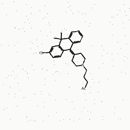 CC(=O)CCCN1CCC(=C2c3ccccc3C(C)(C)c3cc(Cl)ccc32)CC1